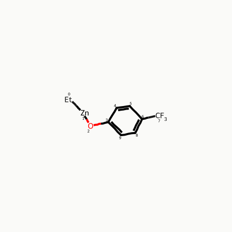 [CH2][CH2][Zn][O]c1ccc(C(F)(F)F)cc1